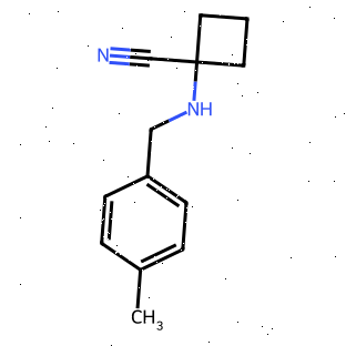 Cc1ccc(CNC2(C#N)CCC2)cc1